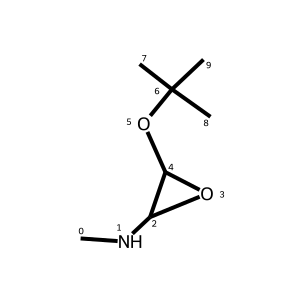 CNC1OC1OC(C)(C)C